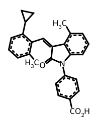 Cc1cccc(C2CC2)c1/C=C1\C(=O)N(c2ccc(C(=O)O)cc2)c2cccc(C)c21